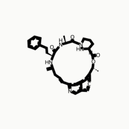 C=C1C/C=C/c2cc3cc(ccc3cn2)[C@@H](C)OC(=O)[C@@H]2CCCN(N2)C(=O)[C@H](C)NC(=O)[C@H](CCc2ccccc2)N1